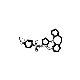 O=S(=O)(N[C@@H]1CCC(N2c3ccccc3CCc3ccccc32)[C@H]1O)c1ccc(OC(F)(F)F)cc1